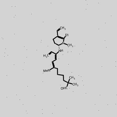 C=CC1=C(CC)N(C)[C@H](N/C(C=C)=C/C=C(\CCCCC(C)(C)C=O)NC)CC1